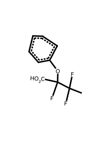 CC(F)(F)C(F)(Oc1ccccc1)C(=O)O